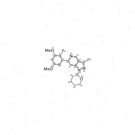 COc1cc(OC)c(F)c(-c2cc3c(cn2)c(I)nn3C2CCCCO2)c1